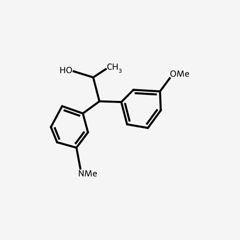 CNc1cccc(C(c2cccc(OC)c2)C(C)O)c1